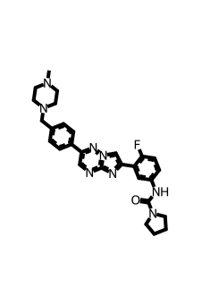 CN1CCN(Cc2ccc(-c3cnc4nc(-c5cc(NC(=O)N6CCCC6)ccc5F)cn4n3)cc2)CC1